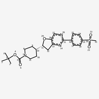 CC(C)(C)OC(=O)N1CCC([C@H]2Cc3nc(-c4ccc(S(C)(=O)=O)cc4)ncc3O2)CC1